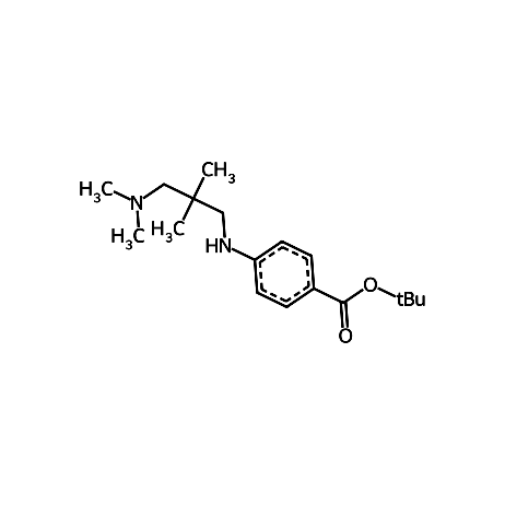 CN(C)CC(C)(C)CNc1ccc(C(=O)OC(C)(C)C)cc1